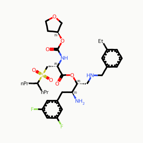 CCCC(CCC)S(=O)(=O)C[C@H](NC(=O)O[C@H]1CCOC1)C(=O)O[C@H](CNCc1cccc(CC)c1)[C@@H](N)Cc1cc(F)cc(F)c1